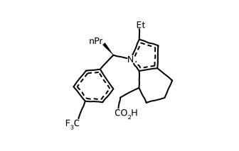 CCC[C@H](c1ccc(C(F)(F)F)cc1)n1c(CC)cc2c1C(CC(=O)O)CCC2